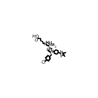 Cc1nc(C2CCC(N3C[C@H](/C(N)=C/N(N)CCCCC(=O)O)OC[C@@H]3Cc3ccc(Cl)cc3)CC2)sc1C